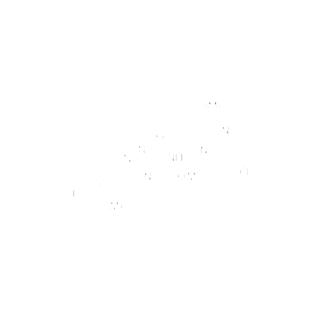 COc1cccc(OC)c1-n1c(COC(F)F)nnc1NS(=O)(=O)C(C)C(OC)c1ncc(Cl)cn1